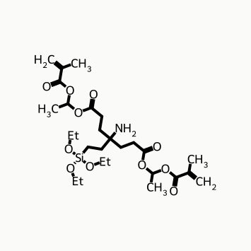 C=C(C)C(=O)OC(C)OC(=O)CCC(N)(CCC(=O)OC(C)OC(=O)C(=C)C)CC[Si](OCC)(OCC)OCC